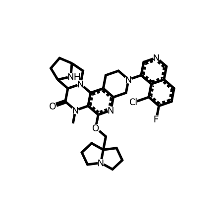 CN1C(=O)C2C3CCC(CN2c2c4c(nc(OCC56CCCN5CCC6)c21)CN(c1cncc2ccc(F)c(Cl)c12)CC4)N3